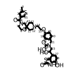 Cc1cc(C(=O)N2CCOC3(CCN(CCOc4ccc(CN(CC(O)c5ccc(O)c6[nH]c(=O)sc56)C(=O)O)cc4)CC3)C2)cs1